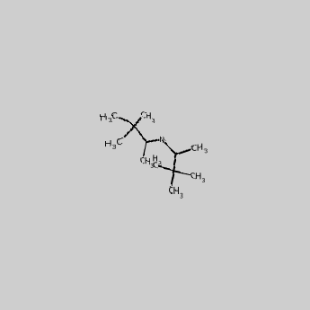 CC([N]C(C)C(C)(C)C)C(C)(C)C